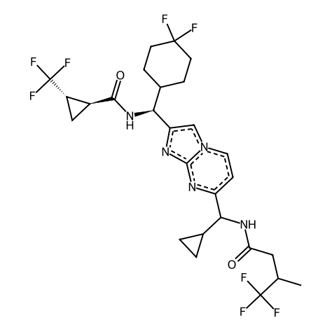 CC(CC(=O)NC(c1ccn2cc([C@@H](NC(=O)[C@H]3C[C@@H]3C(F)(F)F)C3CCC(F)(F)CC3)nc2n1)C1CC1)C(F)(F)F